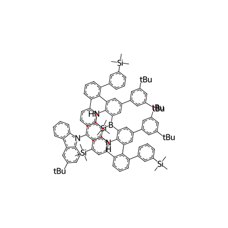 CC(C)(C)c1cc(-c2cc3c(c(-c4c(-c5cccc([Si](C)(C)C)c5)cccc4-c4cccc([Si](C)(C)C)c4)c2)Nc2cc(-n4c5ccccc5c5cc(C(C)(C)C)ccc54)cc4c2B3c2cc(-c3cc(C(C)(C)C)cc(C(C)(C)C)c3)cc(-c3c(-c5cccc([Si](C)(C)C)c5)cccc3-c3cccc([Si](C)(C)C)c3)c2N4)cc(C(C)(C)C)c1